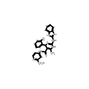 CC1=C(C(=O)Nc2ccnc(C(=O)O)c2)C(c2ccccc2Cl)N=C(Nc2nc3ccccc3o2)N1